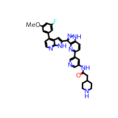 COc1cc(F)cc(-c2ccnc3[nH]c(-c4n[nH]c5ccc(-c6cncc(NC(=O)CC7CCNCC7)c6)nc45)cc23)c1